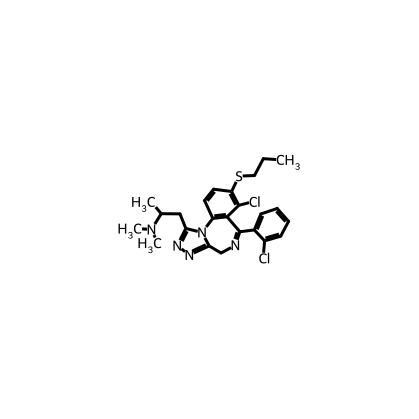 CCCSc1ccc2c(c1Cl)C(c1ccccc1Cl)=NCc1nnc(CC(C)N(C)C)n1-2